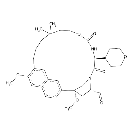 COc1cc2ccc3cc2cc1CCCC(C)(C)CCOC(=O)N[C@@H](C1CCOCC1)C(=O)N1C[C@@]3(OC)C[C@H]1C=O